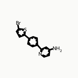 Nc1ccnc(-c2ccc(-c3ccc(Br)s3)cc2)c1